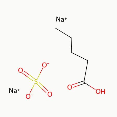 CCCCC(=O)O.O=S(=O)([O-])[O-].[Na+].[Na+]